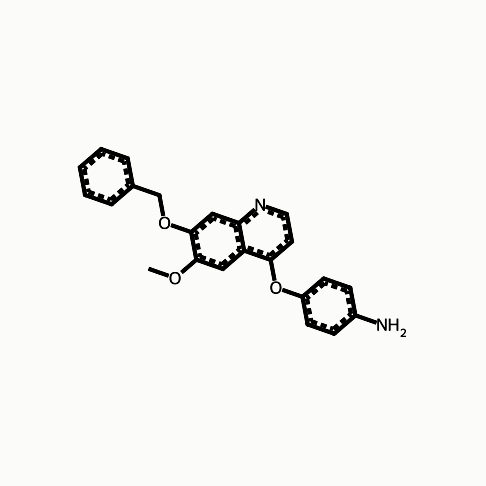 COc1cc2c(Oc3ccc(N)cc3)ccnc2cc1OCc1ccccc1